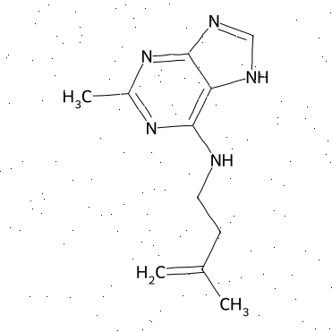 C=C(C)CCNc1nc(C)nc2nc[nH]c12